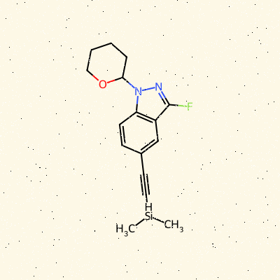 C[SiH](C)C#Cc1ccc2c(c1)c(F)nn2C1CCCCO1